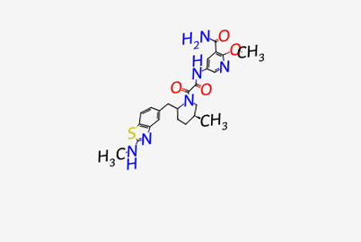 CNc1nc2cc(CC3CC[C@H](C)CN3C(=O)C(=O)Nc3cnc(OC)c(C(N)=O)c3)ccc2s1